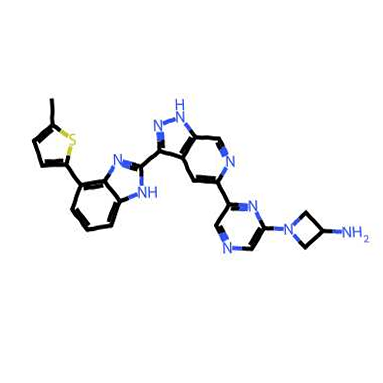 Cc1ccc(-c2cccc3[nH]c(-c4n[nH]c5cnc(-c6cncc(N7CC(N)C7)n6)cc45)nc23)s1